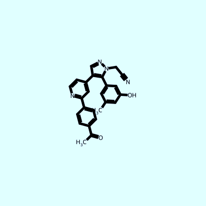 CC(=O)c1ccc(-c2cc(-c3cnn(CC#N)c3-c3cc(C)cc(O)c3)ccn2)cc1